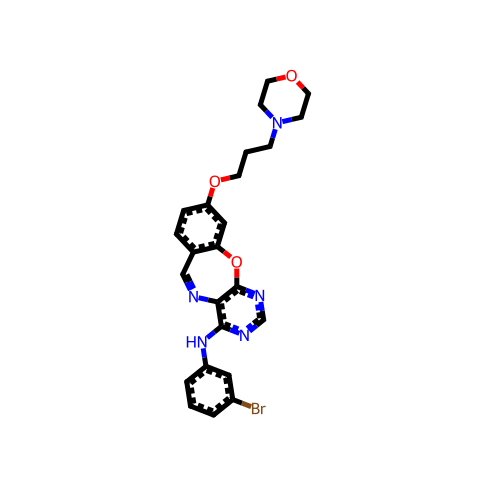 Brc1cccc(Nc2ncnc3c2N=Cc2ccc(OCCCN4CCOCC4)cc2O3)c1